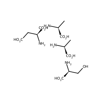 C[C@H](N)C(=O)O.C[C@H](N)C(=O)O.N[C@@H](CC(=O)O)C(=O)O.N[C@@H](CO)C(=O)O